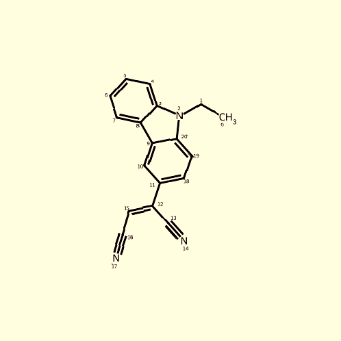 CCn1c2ccccc2c2cc(C(C#N)=CC#N)ccc21